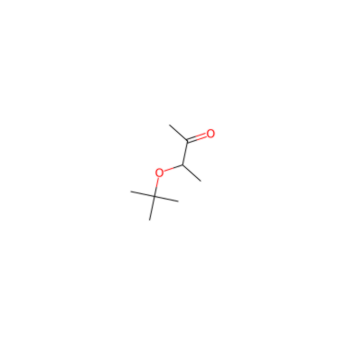 CC(=O)C(C)OC(C)(C)C